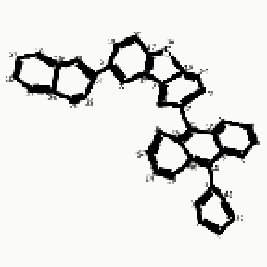 c1ccc(-c2c3ccccc3c(-c3ccc4sc5ccc(-c6ccc7ccccc7c6)cc5c4c3)c3ccccc23)cc1